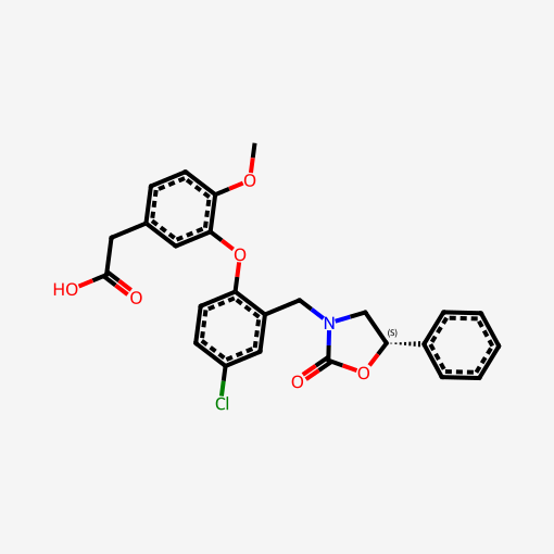 COc1ccc(CC(=O)O)cc1Oc1ccc(Cl)cc1CN1C[C@H](c2ccccc2)OC1=O